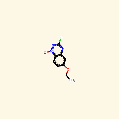 CCOc1ccc2c(c1)nc(Cl)n[n+]2[O-]